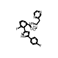 O=C(N[C@@H](CO)Cc1cnccn1)c1cccc(F)c1-c1cc(-c2ccc(F)cc2)[nH]n1